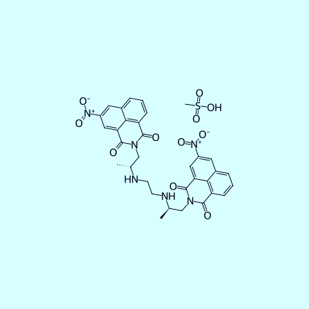 CS(=O)(=O)O.C[C@H](CN1C(=O)c2cccc3cc([N+](=O)[O-])cc(c23)C1=O)NCCN[C@H](C)CN1C(=O)c2cccc3cc([N+](=O)[O-])cc(c23)C1=O